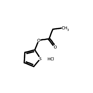 CCC(=O)Oc1cccs1.Cl